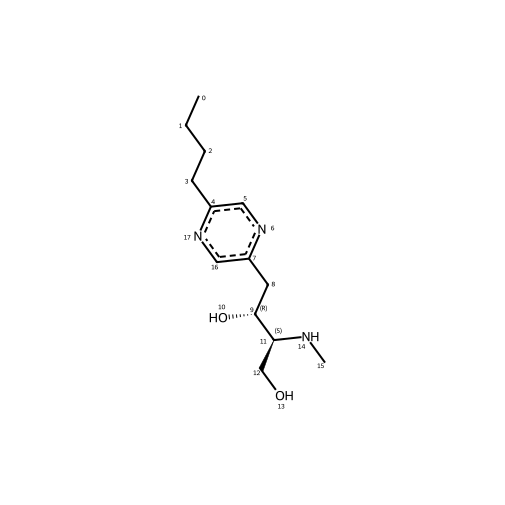 CCCCc1cnc(C[C@@H](O)[C@H](CO)NC)cn1